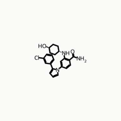 NC(=O)c1ccc(-n2cccc2-c2cccc(Cl)c2)cc1N[C@H]1CC[C@H](O)CC1